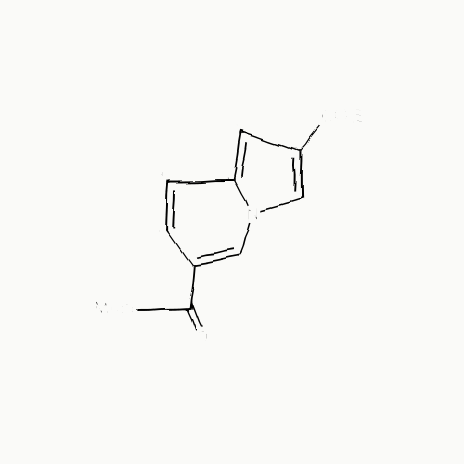 CCOC(=O)c1cc2ccc(C(=O)OC)cn2c1